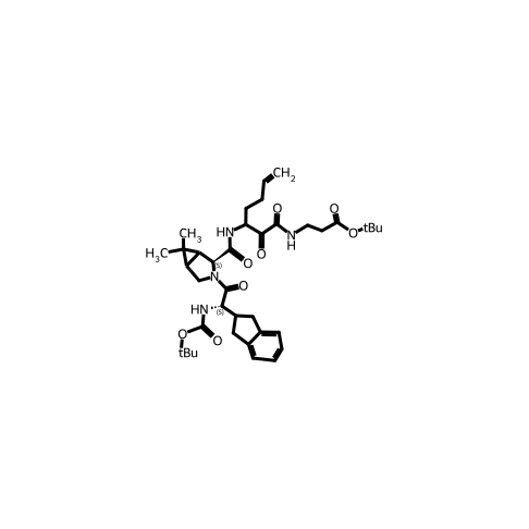 C=CCCC(NC(=O)[C@@H]1C2C(CN1C(=O)[C@@H](NC(=O)OC(C)(C)C)C1Cc3ccccc3C1)C2(C)C)C(=O)C(=O)NCCC(=O)OC(C)(C)C